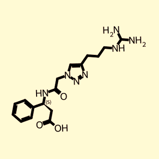 NC(N)NCCCc1cn(CC(=O)N[C@@H](CC(=O)O)c2ccccc2)nn1